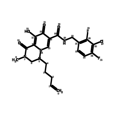 C=CCCCN1CN(C)C(=O)c2c(O)c(=O)c(C(=O)NCc3ccc(F)c(Cl)c3F)cn21